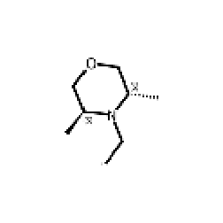 [CH2]CN1[C@@H](C)COC[C@@H]1C